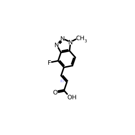 Cn1nnc2c(F)c(/C=C/C(=O)O)ccc21